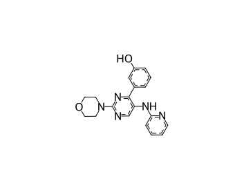 Oc1cccc(-c2nc(N3CCOCC3)ncc2Nc2ccccn2)c1